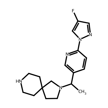 CC(c1ccc(-n2cc(F)cn2)nc1)N1CCC2(CCNCC2)C1